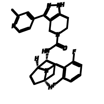 Cc1cc(-c2n[nH]c3c2CN(C(=O)N[C@@H]2CC[C@H]4CC[C@@H]2N4Cc2c(F)cccc2F)CC3)ccn1